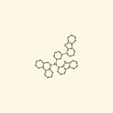 c1cc(-c2cccc3c2sc2ccccc23)cc(N(c2cc3ccccc3c3ccccc23)c2cccc3c2sc2ccccc23)c1